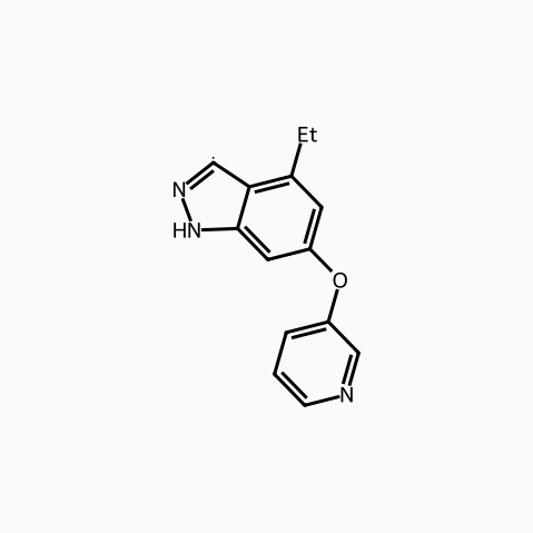 CCc1cc(Oc2cccnc2)cc2[nH]n[c]c12